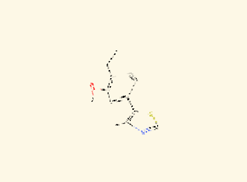 CCc1ccc(-c2scnc2C)cc1OC